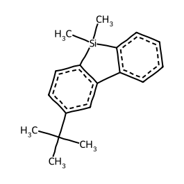 CC(C)(C)c1ccc2c(c1)-c1ccccc1[Si]2(C)C